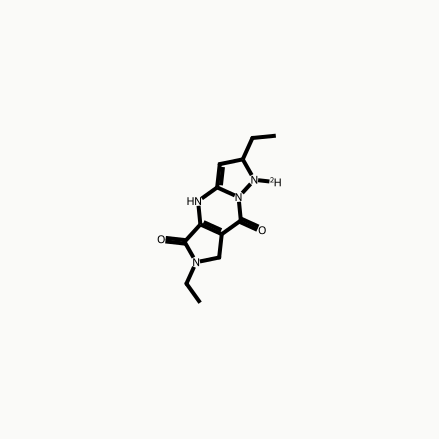 [2H]N1C(CC)C=C2NC3=C(CN(CC)C3=O)C(=O)N21